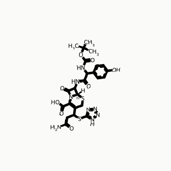 CC(C)(C)OC(=O)NC(C(=O)NC1C(=O)N2C(C(=O)O)=C(C(CC(N)=O)Sc3nnn[nH]3)CS[C@@H]12)c1ccc(O)cc1